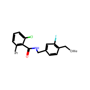 COCc1ccc(CNC(=O)c2c(Cl)cccc2C(C)C)cc1F